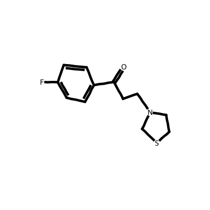 O=C(CCN1CCSC1)c1ccc(F)cc1